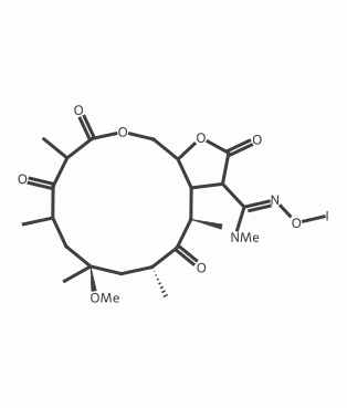 CN/C(=N\OI)C1C(=O)OC2COC(=O)C(C)C(=O)C(C)C[C@](C)(OC)C[C@@H](C)C(=O)[C@H](C)C21